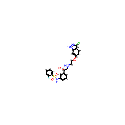 O=S(=O)(Nc1cccc([C@@H](O)CNCCOc2ccc3c(Cl)n[nH]c3c2)c1)c1ccccc1F